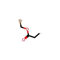 [CH2]CC(=O)OCBr